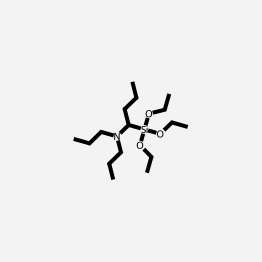 CCCC(N(CCC)CCC)[Si](OCC)(OCC)OCC